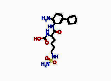 Nc1ccc(-c2ccccc2)cc1NC(=O)C(CCCCNS(N)(=O)=O)NC(=O)O